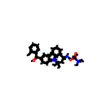 Cc1ccccc1C(=O)c1ccc2c(c1)c1cccc3c1n2C(C)(C)C/C3=N\OC(=O)N(C)C